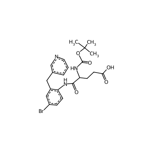 CC(C)(C)OC(=O)NC(CCC(=O)O)C(=O)Nc1ccc(Br)cc1Cc1cccnc1